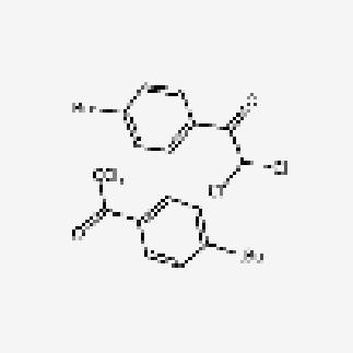 CC(C)(C)c1ccc(C(=O)C(Cl)(Cl)Cl)cc1.CC(C)(C)c1ccc(C(=O)C(Cl)Cl)cc1